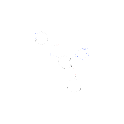 O=C(Nc1ccc(OC2CCCCC2)c(-n2cnnn2)c1)c1ccncc1